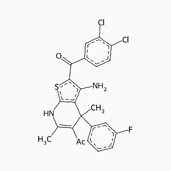 CC(=O)C1=C(C)Nc2sc(C(=O)c3ccc(Cl)c(Cl)c3)c(N)c2C1(C)c1cccc(F)c1